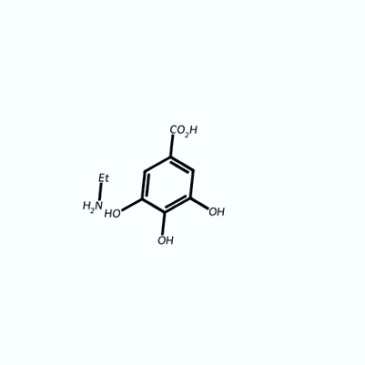 CCN.O=C(O)c1cc(O)c(O)c(O)c1